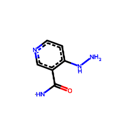 [NH]C(=O)c1cnccc1NN